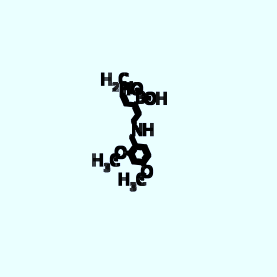 C=N/C=C\C(=C/CNCc1ccc(OC)cc1OC)B(O)O